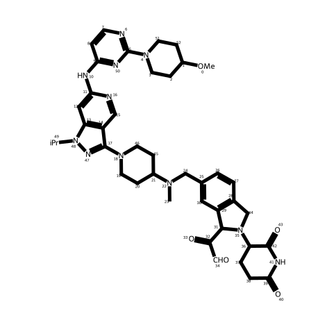 COC1CCN(c2nccc(Nc3cc4c(cn3)c(N3CCC(N(C)Cc5ccc6c(c5)C(C(=O)C=O)N(C5CCC(=O)NC5=O)C6)CC3)nn4C(C)C)n2)CC1